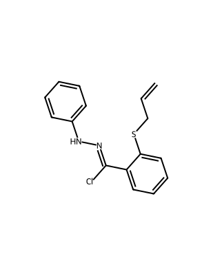 C=CCSc1ccccc1C(Cl)=NNc1ccccc1